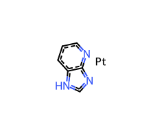 [Pt].c1cnc2nc[nH]c2c1